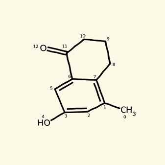 Cc1cc(O)cc2c1CCCC2=O